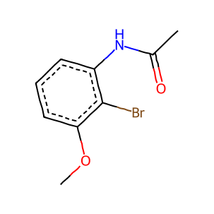 COc1cccc(NC(C)=O)c1Br